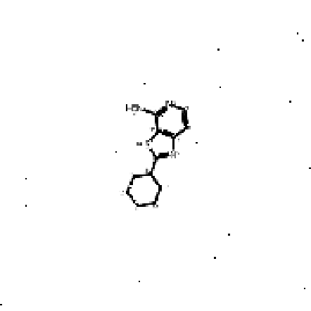 Nc1nccc2nc(C3CCCCC3)sc12